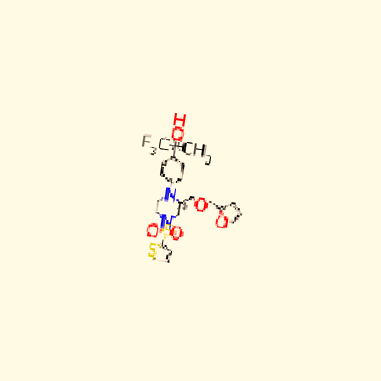 C[C@@](O)(c1ccc(N2CCN(S(=O)(=O)c3cccs3)C[C@@H]2COCc2ccco2)cc1)C(F)(F)F